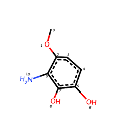 COc1ccc(O)c(O)c1N